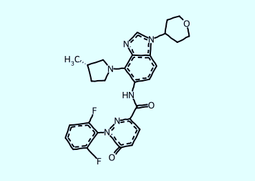 C[C@H]1CCN(c2c(NC(=O)c3ccc(=O)n(-c4c(F)cccc4F)n3)ccc3c2ncn3C2CCOCC2)C1